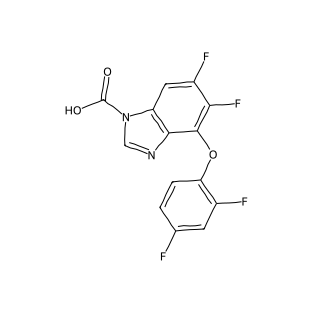 O=C(O)n1cnc2c(Oc3ccc(F)cc3F)c(F)c(F)cc21